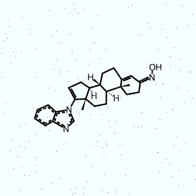 C[C@]12CC/C(=N/O)C=C1CC[C@@H]1[C@@H]2CC[C@]2(C)C(n3cnc4ccccc43)=CC[C@@H]12